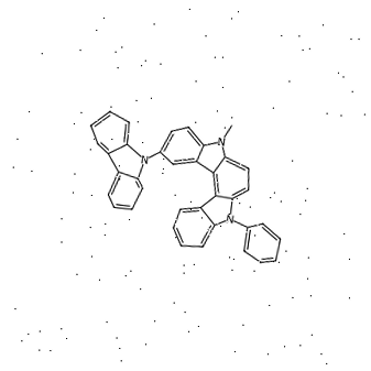 Cn1c2ccc(-n3c4ccccc4c4ccccc43)cc2c2c3c4ccccc4n(-c4ccccc4)c3ccc21